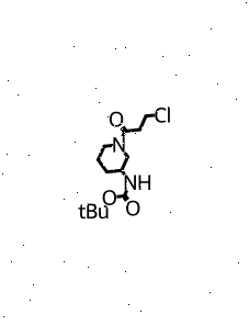 CC(C)(C)OC(=O)NC1CCCN(C(=O)CCCl)C1